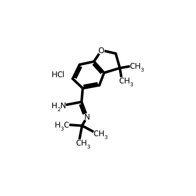 CC(C)(C)N=C(N)c1ccc2c(c1)C(C)(C)CO2.Cl